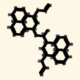 C=CCC1=CC(CC(C)C2C=C(CC=C)c3cccc4cccc2c34)c2cccc3cccc1c23